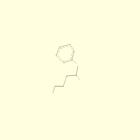 CCCCCCCCCCCCC(Oc1ccccc1)S(=O)(=O)O